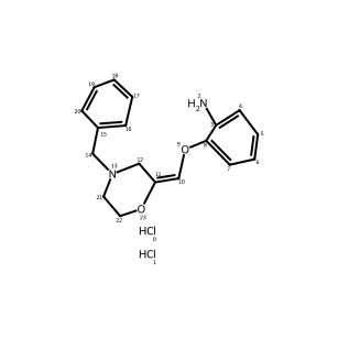 Cl.Cl.Nc1ccccc1OC=C1CN(Cc2ccccc2)CCO1